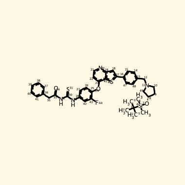 CC(C)(C)[Si](C)(C)O[C@H]1CCN(Cc2ccc(-c3cc4nccc(Oc5ccc(NC(=S)NC(=O)Cc6ccccc6)cc5F)c4s3)cc2)C1